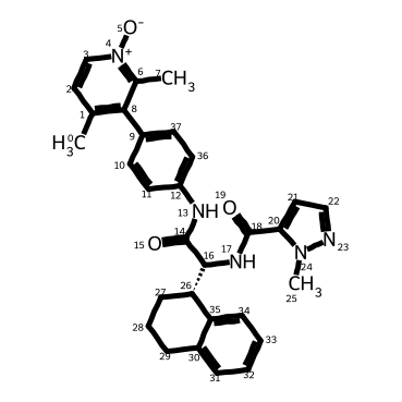 Cc1cc[n+]([O-])c(C)c1-c1ccc(NC(=O)C(NC(=O)c2ccnn2C)[C@H]2CCCc3ccccc32)cc1